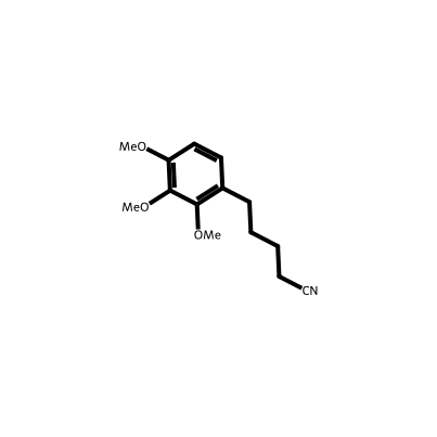 COc1ccc(CCCCC#N)c(OC)c1OC